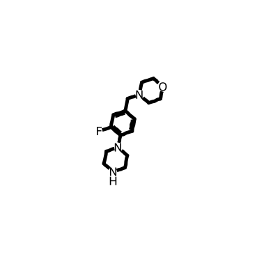 Fc1cc(CN2CCOCC2)ccc1N1CCNCC1